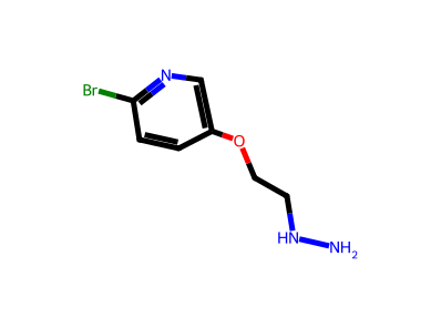 NNCCOc1ccc(Br)nc1